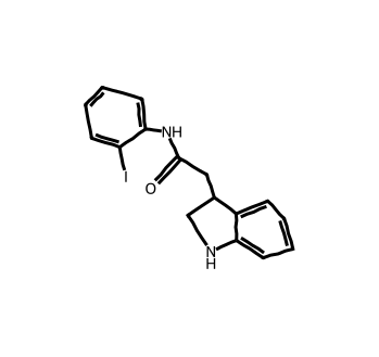 O=C(CC1CNc2ccccc21)Nc1ccccc1I